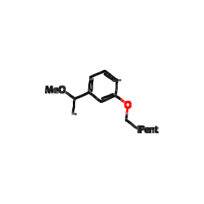 [CH2]C(OC)c1cc[c]c(OCC(C)CCC)c1